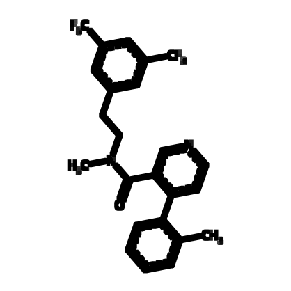 Cc1ccccc1-c1ccncc1C(=O)N(C)CCc1cc(C(F)(F)F)cc(C(F)(F)F)c1